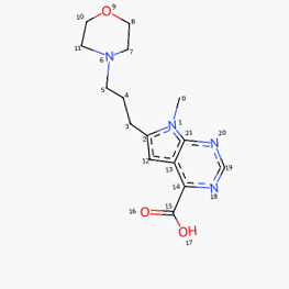 Cn1c(CCCN2CCOCC2)cc2c(C(=O)O)ncnc21